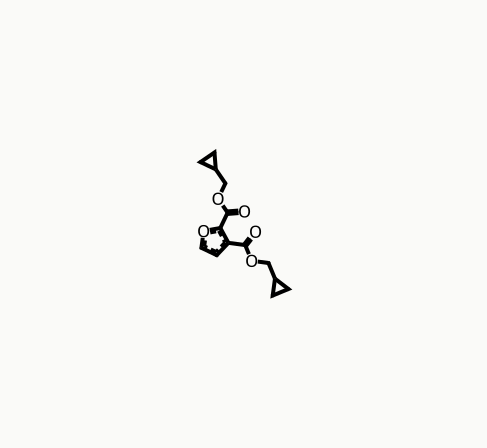 O=C(OCC1CC1)c1ccoc1C(=O)OCC1CC1